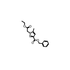 CCOC(=O)Cn1nc(C(=O)OCc2ccccc2)cc1C